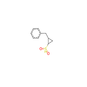 O=[SH](=O)C1CC1Cc1ccccc1